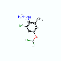 Cc1cc(OC(F)F)cc(Br)c1NN